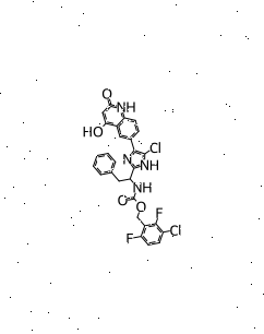 O=C(NC(Cc1ccccc1)c1nc(-c2ccc3[nH]c(=O)cc(O)c3c2)c(Cl)[nH]1)OCc1c(F)ccc(Cl)c1F